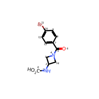 O=C(O)NC1CN(C(=O)c2ccc(Br)cc2)C1